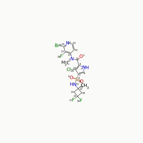 CN(C(=O)c1[nH]cc(S(=O)(=O)NC2(C)CC(F)(F)C2)c1Cl)c1ccnc(Br)c1F